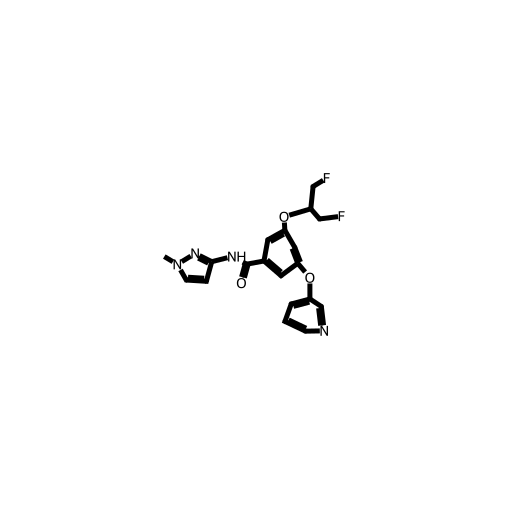 Cn1ccc(NC(=O)c2cc(Oc3cccnc3)cc(OC(CF)CF)c2)n1